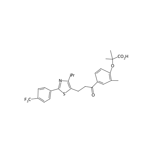 Cc1cc(C(=O)CCc2sc(-c3ccc(C(F)(F)F)cc3)nc2C(C)C)ccc1OC(C)(C)C(=O)O